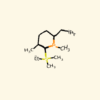 CCS(C)(C)C1C(C)CCC(CC(C)C)P1C